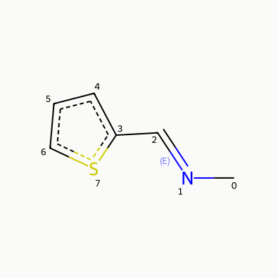 C/N=C/c1cccs1